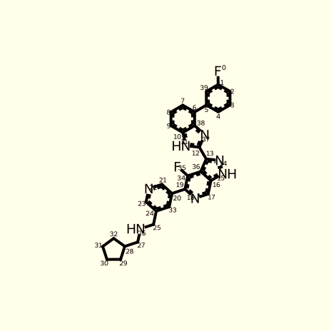 Fc1cccc(-c2cccc3[nH]c(-c4n[nH]c5cnc(-c6cncc(CNCC7CCCC7)c6)c(F)c45)nc23)c1